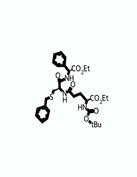 CCOC(=O)[C@H](CCC(=O)N[C@@H](CSCc1ccccc1)C(=O)N[C@@H](C(=O)OCC)c1ccccc1)NC(=O)OC(C)(C)C